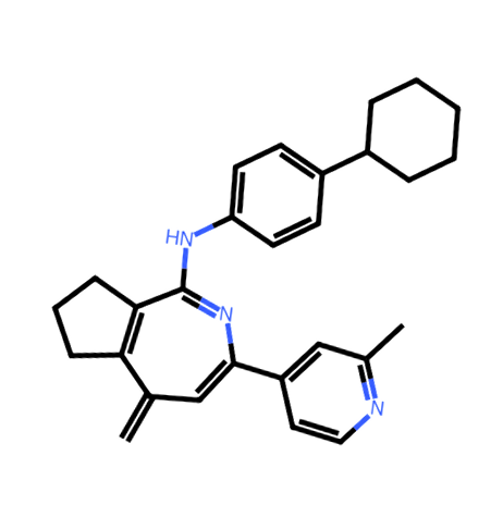 C=C1C=C(c2ccnc(C)c2)N=C(Nc2ccc(C3CCCCC3)cc2)C2=C1CCC2